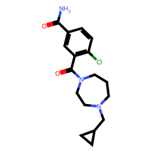 NC(=O)c1ccc(Cl)c(C(=O)N2CCCN(CC3CC3)CC2)c1